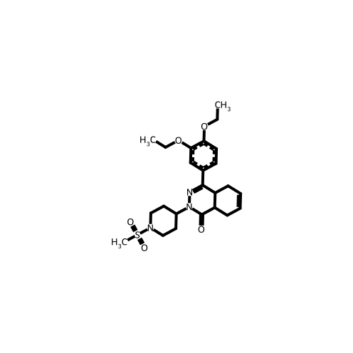 CCOc1ccc(C2=NN(C3CCN(S(C)(=O)=O)CC3)C(=O)C3CC=CCC23)cc1OCC